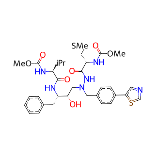 COC(=O)N[C@@H](CSC)C(=O)NN(Cc1ccc(-c2cncs2)cc1)C[C@H](O)[C@H](Cc1ccccc1)NC(=O)[C@@H](NC(=O)OC)C(C)C